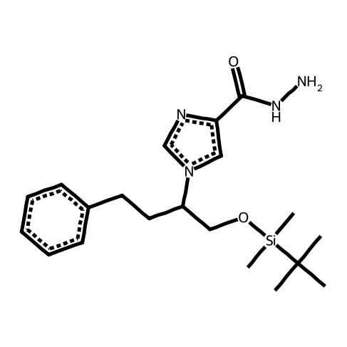 CC(C)(C)[Si](C)(C)OCC(CCc1ccccc1)n1cnc(C(=O)NN)c1